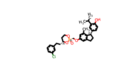 Cc1cc(OC[P@@]2(=O)OCC[C@@H](CCc3cccc(Cl)c3)O2)cc2c1[C@@H](c1ccc(O)c(C(C)C)c1)CC2